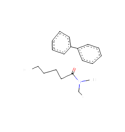 CCCCCC(=O)N(C)CC.c1ccc(-c2ccccc2)cc1